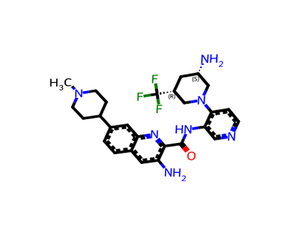 CN1CCC(c2ccc3cc(N)c(C(=O)Nc4cnccc4N4C[C@@H](N)C[C@@H](C(F)(F)F)C4)nc3c2)CC1